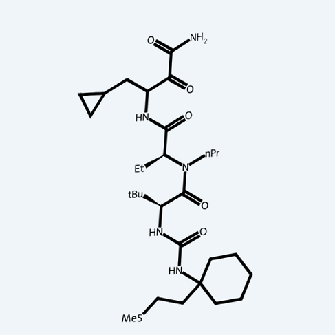 CCCN(C(=O)[C@@H](NC(=O)NC1(CCSC)CCCCC1)C(C)(C)C)[C@@H](CC)C(=O)NC(CC1CC1)C(=O)C(N)=O